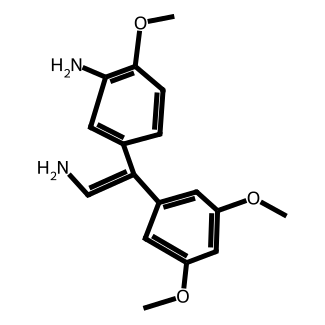 COc1cc(OC)cc(C(=CN)c2ccc(OC)c(N)c2)c1